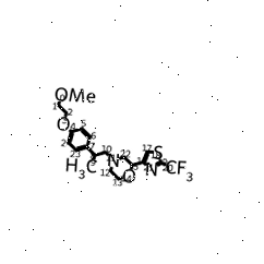 COCCOc1ccc(C(C)CN2CCOC(c3csc(C(F)(F)F)n3)C2)cc1